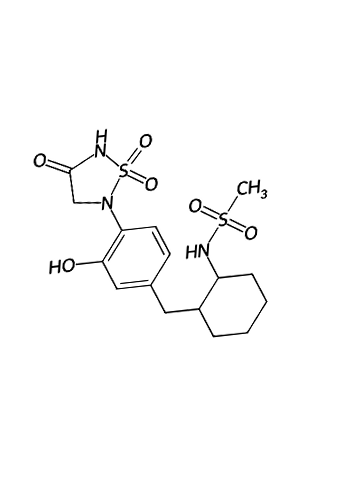 CS(=O)(=O)NC1CCCCC1Cc1ccc(N2CC(=O)NS2(=O)=O)c(O)c1